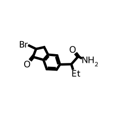 CCC(C(N)=O)c1ccc2c(c1)CC(Br)C2=O